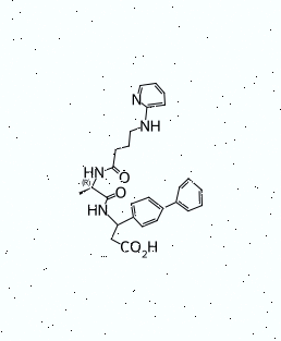 C[C@@H](NC(=O)CCCNc1ccccn1)C(=O)NC(CC(=O)O)c1ccc(-c2ccccc2)cc1